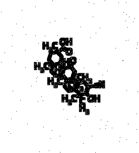 CC1(C)C(O)=C(C#N)C[C@]2(C)C3=CC(=O)[C@@H]4[C@@H]5C[C@@](C)(C(=O)O)CC[C@]5(C)CC[C@@]4(C)[C@]3(C)CCC12